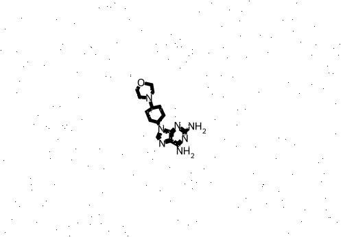 Nc1nc(N)c2ncn(C3CCC(N4CCOCC4)CC3)c2n1